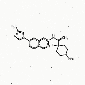 C=C(Nc1cc2cc(-c3cnn(C)c3)ccc2cn1)C1(F)CCN(CCCC)CC1